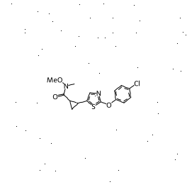 CON(C)C(=O)C1CC1c1cnc(Oc2ccc(Cl)cc2)s1